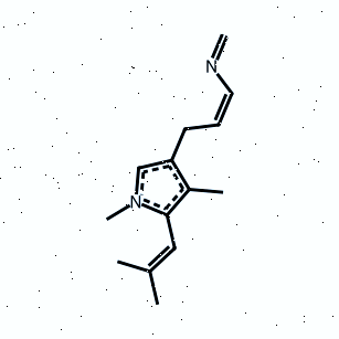 C=N/C=C\Cc1cn(C)c(C=C(C)C)c1C